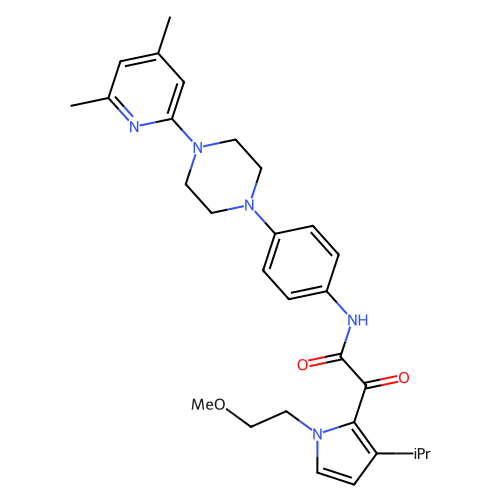 COCCn1ccc(C(C)C)c1C(=O)C(=O)Nc1ccc(N2CCN(c3cc(C)cc(C)n3)CC2)cc1